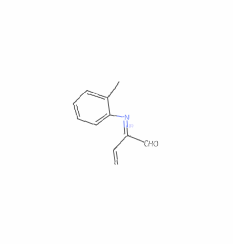 C=C/C(C=O)=N\c1ccccc1C